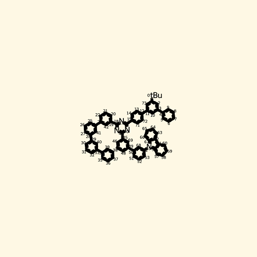 CC(C)(C)c1cc(-c2ccccc2)cc(-c2ccc(-c3nc(-c4cccc(-c5cccc(-c6cccc(-c7ccccc7)c6)c5)c4)nc(-c4cccc(-c5cccc(-n6c7ccccc7c7ccccc76)c5)c4)n3)cc2)c1